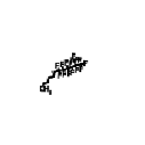 CCCCC[CH]C(F)(F)C(F)(F)C(F)(F)C(F)(F)C(F)(C(F)(F)F)C(F)(F)F